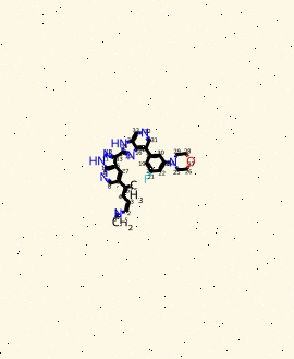 C=N/C=C\C=C(/C)c1cnc2[nH]nc(-c3nc4c(-c5cc(F)cc(N6CCOCC6)c5)cncc4[nH]3)c2c1